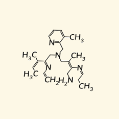 C=C/N=C(CN(C/C(C)=C(CN)/N=C\CC)Cc1ncccc1C)\C(C)=C/C